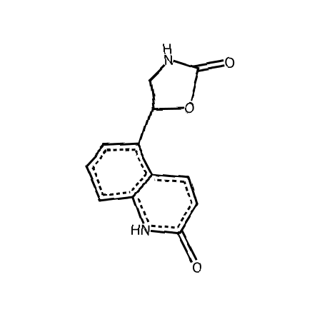 O=C1NCC(c2cccc3[nH]c(=O)ccc23)O1